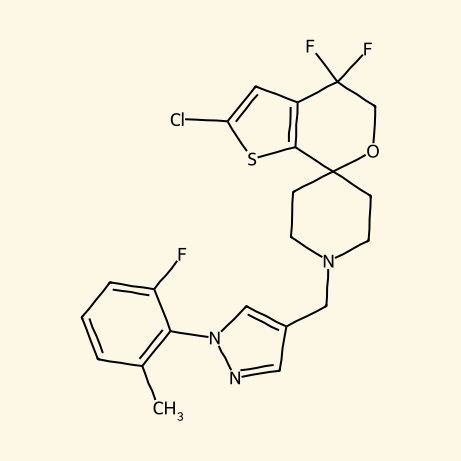 Cc1cccc(F)c1-n1cc(CN2CCC3(CC2)OCC(F)(F)c2cc(Cl)sc23)cn1